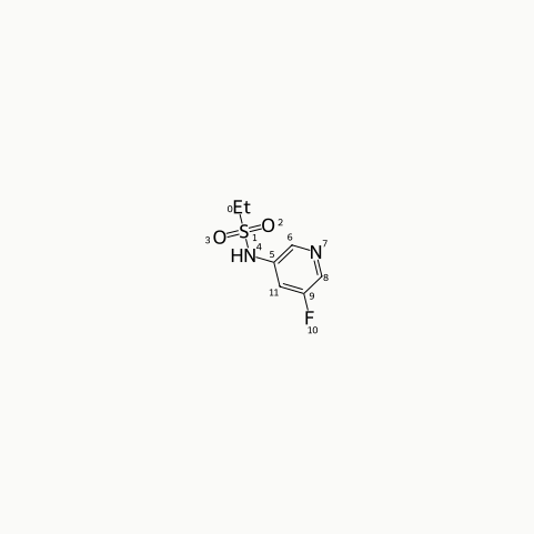 CCS(=O)(=O)Nc1cncc(F)c1